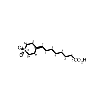 O=C(O)CCCCCCC=C1CCS(=O)(=O)CC1